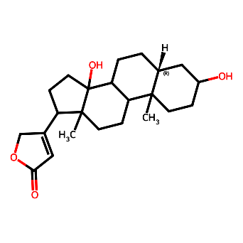 CC12CCC(O)C[C@H]1CCC1C2CCC2(C)C(C3=CC(=O)OC3)CCC12O